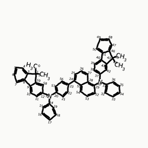 CC1(C)c2ccccc2-c2ccc(N(c3ccccc3)c3ccc(-c4cccc5c(N(c6ccccc6)c6ccc7c(c6)C(C)(C)c6ccccc6-7)cccc45)cc3)cc21